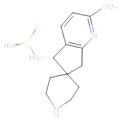 COc1ccc2c(n1)CC1(CCNCC1)[C@@H]2N[S+]([O-])C(C)(C)C